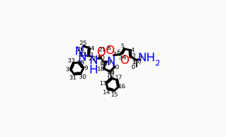 C[C@H](N)c1ccc(C(=O)N2C[C@@H](c3ccccc3)C[C@H]2C(=O)Nc2ccnn2-c2ccccc2)o1